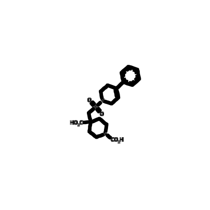 O=C(O)N1CCC(CS(=O)(=O)N2CC=C(c3ccccc3)CC2)(C(=O)O)CC1